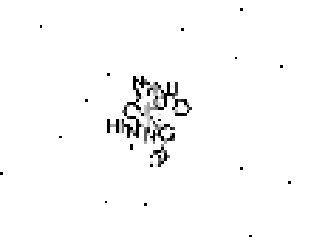 O=C(Cc1ccccc1)Nc1cncc(-c2ccc3[nH]nc(-c4nc5c(-c6ccoc6)cccc5[nH]4)c3n2)c1